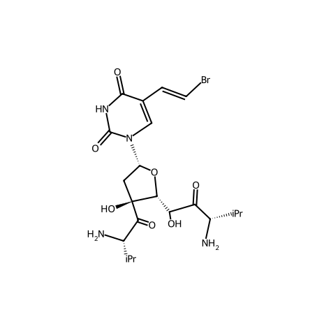 CC(C)[C@H](N)C(=O)C(O)[C@H]1O[C@@H](n2cc(/C=C/Br)c(=O)[nH]c2=O)C[C@@]1(O)C(=O)[C@@H](N)C(C)C